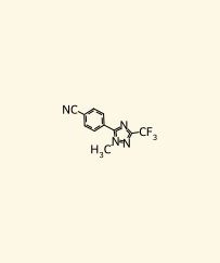 Cn1nc(C(F)(F)F)nc1-c1ccc(C#N)cc1